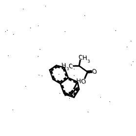 CC(C)C(=O)O.c1ccc2c3ccc(cc3)c2c1